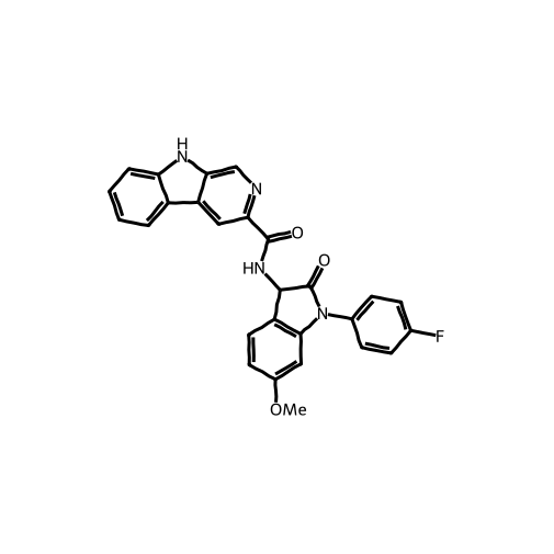 COc1ccc2c(c1)N(c1ccc(F)cc1)C(=O)C2NC(=O)c1cc2c(cn1)[nH]c1ccccc12